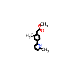 COC(=O)Cc1ccc(-c2cccc(C)n2)cc1C